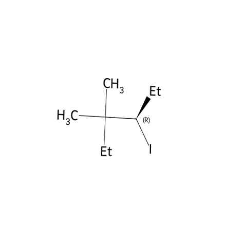 CC[C@@H](I)C(C)(C)CC